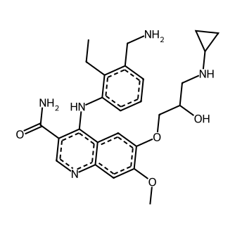 CCc1c(CN)cccc1Nc1c(C(N)=O)cnc2cc(OC)c(OCC(O)CNC3CC3)cc12